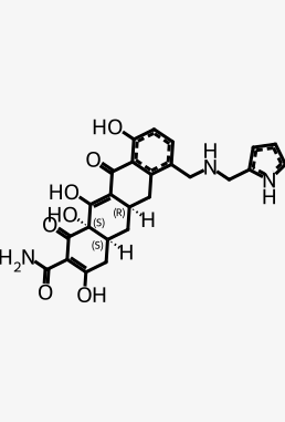 NC(=O)C1=C(O)C[C@@H]2C[C@@H]3Cc4c(CNCc5ccc[nH]5)ccc(O)c4C(=O)C3=C(O)[C@]2(O)C1=O